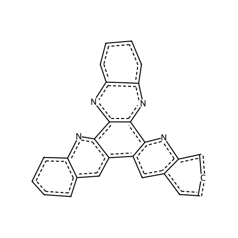 c1ccc2nc3c(cc2c1)c1cc2ccccc2nc1c1nc2ccccc2nc31